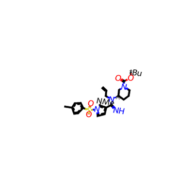 C=CCN(C(=N)c1ccn(S(=O)(=O)c2ccc(C)cc2)c1NC)[C@@H]1CCCN(C(=O)OC(C)(C)C)C1